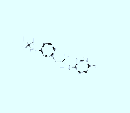 Cc1ccc(NC(=O)Cc2cccc(OC(F)(F)F)c2)nn1